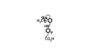 CS(=O)(=O)N1CCCc2ccc(CNc3ccc(CCC(=O)O)c(F)c3)cc21